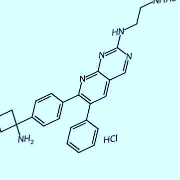 CC(=O)NCCNc1ncc2cc(-c3ccccc3)c(-c3ccc(C4(N)CCC4)cc3)nc2n1.Cl